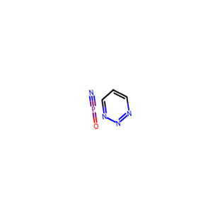 N#P=O.c1cnnnc1